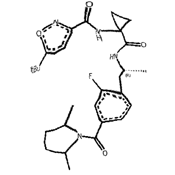 CC1CCC(C)N1C(=O)c1ccc([C@@H](C)NC(=O)C2(NC(=O)c3cc(C(C)(C)C)on3)CC2)c(F)c1